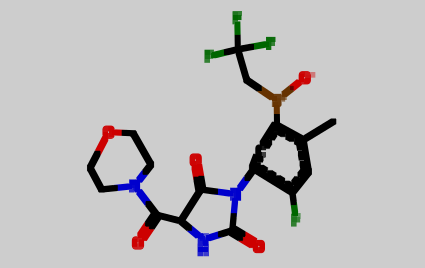 Cc1cc(F)c(N2C(=O)NC(C(=O)N3CCOCC3)C2=O)cc1[S+]([O-])CC(F)(F)F